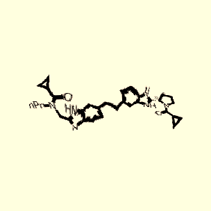 CCCN(Cc1nc2ccc(CCc3ccc4nc([C@@H]5CCCN5C(=O)C5CC5)[nH]c4c3)cc2[nH]1)C(=O)C1CC1